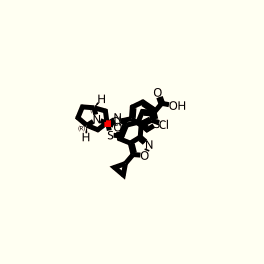 O=C(O)c1cc(-c2csc(N3[C@@H]4CC[C@H]3CC(OCc3c(-c5c(Cl)cccc5Cl)noc3C3CC3)C4)n2)cs1